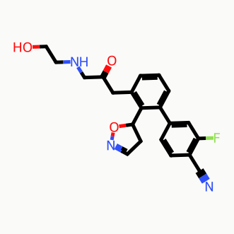 N#Cc1ccc(-c2cccc(CC(=O)CNCCO)c2C2CC=NO2)cc1F